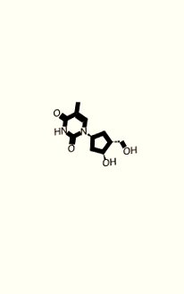 Cc1cn([C@@H]2C[C@H](CO)[C@H](O)C2)c(=O)[nH]c1=O